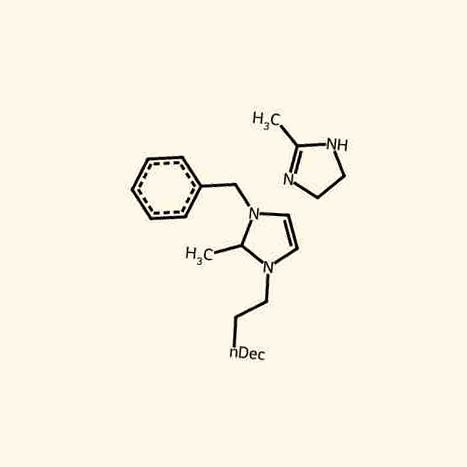 CC1=NCCN1.CCCCCCCCCCCCN1C=CN(Cc2ccccc2)C1C